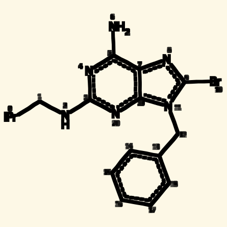 CC(C)CNc1nc(N)c2nc(Br)n(Cc3ccccc3)c2n1